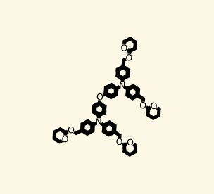 c1cc(N(c2ccc(COC3CCCCO3)cc2)c2ccc(Oc3ccc(N(c4ccc(COC5CCCCO5)cc4)c4ccc(COC5CCCCO5)cc4)cc3)cc2)ccc1COC1CCCCO1